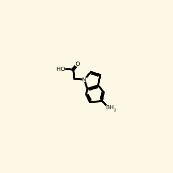 Bc1ccc2c(ccn2CC(=O)O)c1